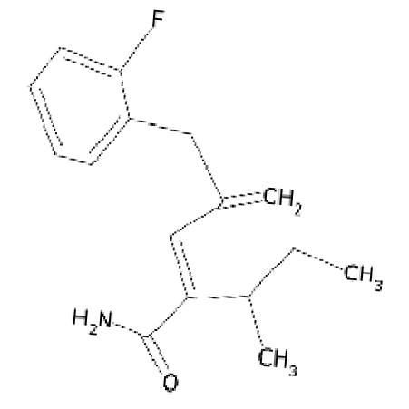 C=C(/C=C(/C(N)=O)C(C)CC)Cc1ccccc1F